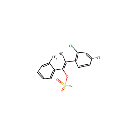 CS(=O)(=O)OC(=C(C#N)c1ccc(Cl)cc1Cl)c1ccccc1C(F)(F)F